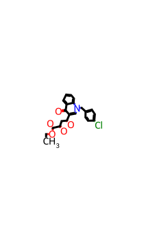 CCOC(=O)C(=O)CC(=O)c1cn(Cc2ccc(Cl)cc2)c2ccccc2c1=O